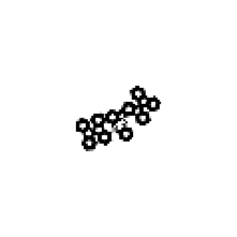 c1ccc(N(c2cccc3c2-c2ccccc2C32c3ccccc3-c3ccccc32)c2cccc3c2sc2cc(C4(c5ccccc5)c5ccccc5-c5ccccc54)ccc23)cc1